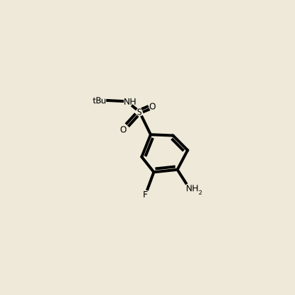 CC(C)(C)NS(=O)(=O)c1ccc(N)c(F)c1